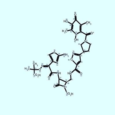 Cc1c(C(=O)N2CC[C@@H](c3cc(C(=O)NC[C@@H]4C(NC(=O)/C(=N\OC(C)(C)C(=O)O)c5csc(N)n5)C(=O)N4S(=O)(=O)O)on3)C2)n(O)c(C)c(O)c1=O